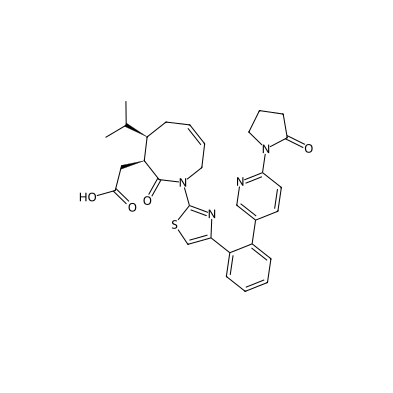 CC(C)[C@H]1C/C=C\CN(c2nc(-c3ccccc3-c3ccc(N4CCCC4=O)nc3)cs2)C(=O)[C@H]1CC(=O)O